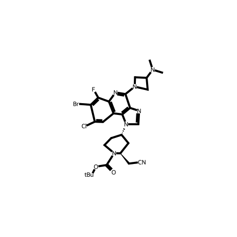 CN(C)C1CN(c2nc3c(F)c(Br)c(Cl)cc3c3c2ncn3[C@H]2CCN(C(=O)OC(C)(C)C)[C@H](CC#N)C2)C1